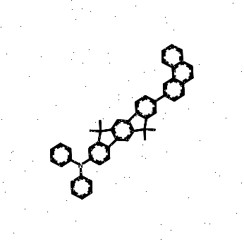 CC1(C)c2cc(-c3ccc4ccc5ccccc5c4c3)ccc2-c2cc3c(cc21)-c1ccc(N(c2ccccc2)c2ccccc2)cc1C3(C)C